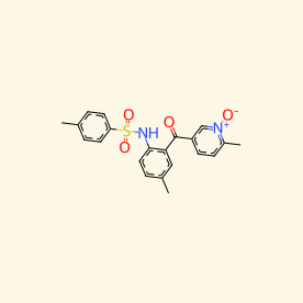 Cc1ccc(S(=O)(=O)Nc2ccc(C)cc2C(=O)c2ccc(C)[n+]([O-])c2)cc1